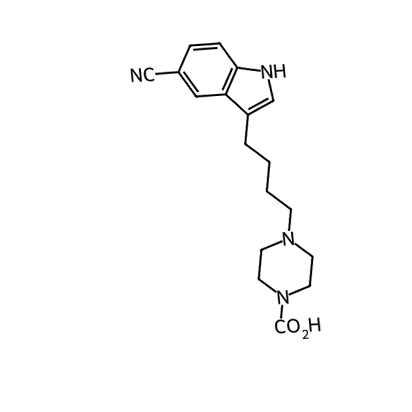 N#Cc1ccc2[nH]cc(CCCCN3CCN(C(=O)O)CC3)c2c1